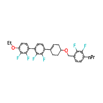 CCCc1ccc(COC2CC=C(c3ccc(-c4ccc(OCC)c(F)c4F)c(F)c3F)CC2)c(F)c1F